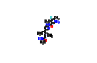 C=C/C(=C\C=C(/N)OC)C(CC)c1ccc(NC(=O)C(=C/N)/C(C)=C(/F)C=C)nc1